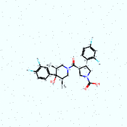 C[C@@H]1CN(C(=O)[C@@H]2CN(C(=O)O)C[C@H]2c2ccc(F)cc2F)C[C@H](C)C1(O)c1ccc(F)c(F)c1